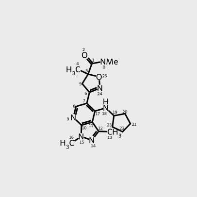 CNC(=O)C1(C)CC(c2cnc3c(c(C)nn3C)c2NC2CCCC2)=NO1